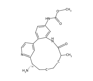 COC(=O)Nc1ccc2c(c1)NC(=O)C(C)CCCC[C@H](N)c1cc-2ccn1